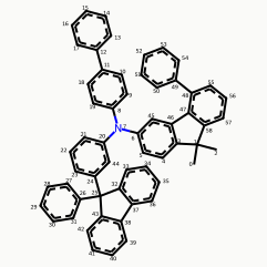 CC1(C)c2ccc(N(c3ccc(-c4ccccc4)cc3)c3cccc(C4(c5ccccc5)c5ccccc5-c5ccccc54)c3)cc2-c2c(-c3ccccc3)cccc21